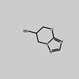 CC(C)(C)C1COc2ncnn2C1